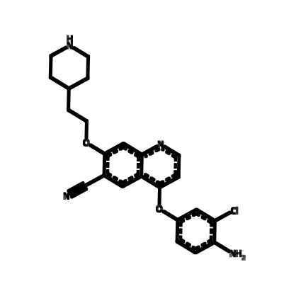 N#Cc1cc2c(Oc3ccc(N)c(Cl)c3)ccnc2cc1OCCC1CCNCC1